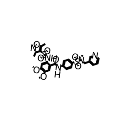 COc1cc(NS(=O)(=O)c2c(C)noc2C)c(C(=O)Nc2ccc(S(=O)(=O)N(C)Cc3cccnc3)cc2)cc1OC